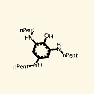 CCCCCNc1cc(NCCCCC)c(O)c(NCCCCC)c1